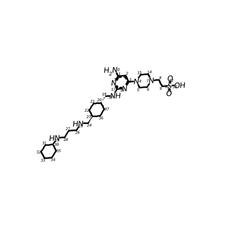 Nc1cc(N2CCN(CCS(=O)(=O)O)CC2)nc(NC[C@H]2CC[C@H](CNCCCNC3CCCCC3)CC2)n1